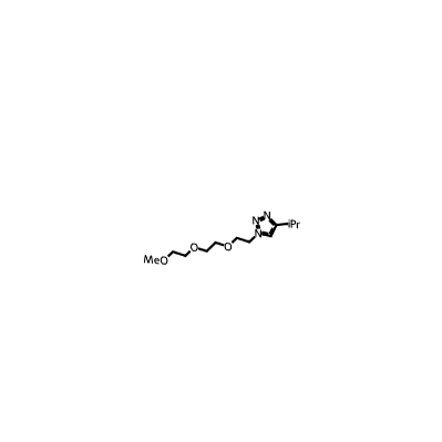 COCCOCCOCCn1cc(C(C)C)nn1